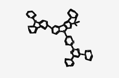 CC1(C)c2ccccc2-c2cc3c4cc(-c5ccc6c(c5)c5ccccc5n6-c5ccccc5)ccc4n(-c4cnc(-c5nc(-c6ccccc6)cc(-c6ccccc6)n5)nc4)c3cc21